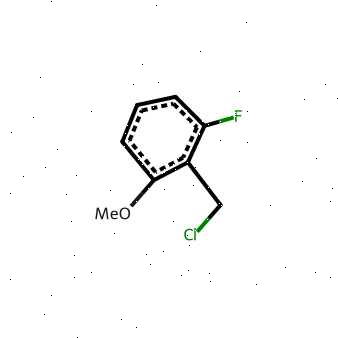 COc1cccc(F)c1CCl